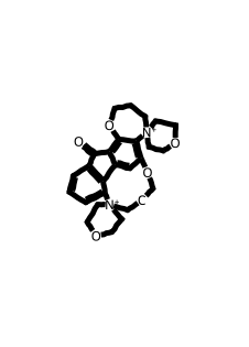 O=C1c2cccc3c2-c2cc(c4c(c21)OCCC[N+]41CCOCC1)OCCC[N+]31CCOCC1